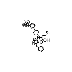 CSCC[C@@H](C(=O)O)N(c1cc(Cc2ccccc2)no1)N1CCC(c2cccc(NS(C)(=O)=O)c2)CC1